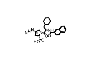 [N-]=[N+]=N[C@@H]1C[C@@H](C(=O)O)N(C(=O)C(CC2CCCCC2)NC(=O)c2ccc3ccccc3c2)C1